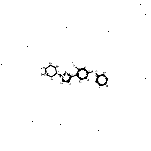 Fc1cc(Oc2ccccc2)ccc1-c1ccn([C@@H]2CCCNC2)n1